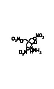 NNC(=O)C(CO[N+](=O)[O-])(CO[N+](=O)[O-])CO[N+](=O)[O-]